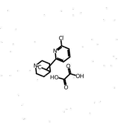 Clc1cccc(C2CN3CCC2CC3)n1.O=C(O)C(=O)O